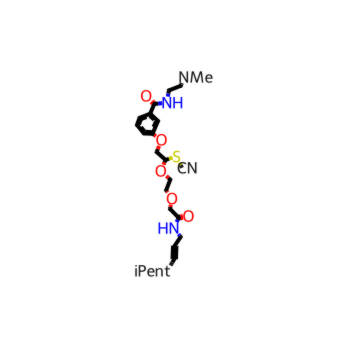 CCCC(C)C#CCNC(=O)COCCOC(COc1cccc(C(=O)NCCNC)c1)SC#N